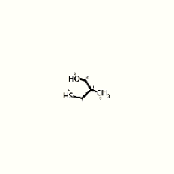 CC(CO)CS